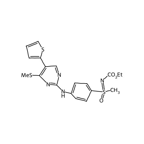 CCOC(=O)N=S(C)(=O)c1ccc(Nc2ncc(-c3cccs3)c(SC)n2)cc1